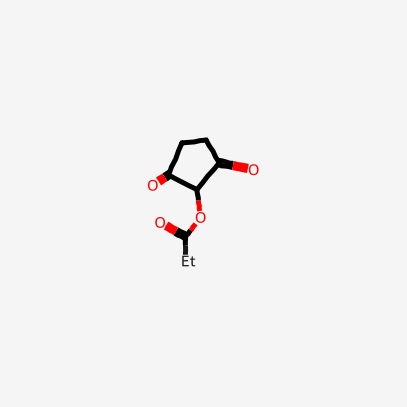 CCC(=O)OC1C(=O)CCC1=O